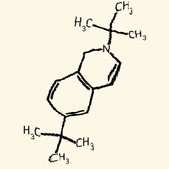 CC(C)(C)c1ccc2c(c1)C=CN(C(C)(C)C)C2